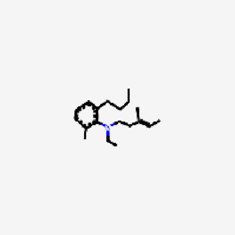 C/C=C(\C)CCN(CC)c1c(C)cccc1CCCC